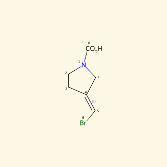 O=C(O)N1CC/C(=C\Br)C1